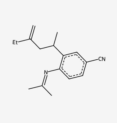 C=C(CC)CC(C)c1cc(C#N)ccc1N=C(C)C